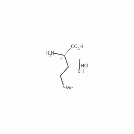 CS.CSCC[C@H](N)C(=O)O.Cl